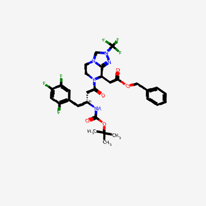 CC(C)(C)OC(=O)N[C@@H](CC(=O)N1CCN2CN(C(F)(F)F)N=C2C1CC(=O)OCc1ccccc1)Cc1cc(F)c(F)cc1F